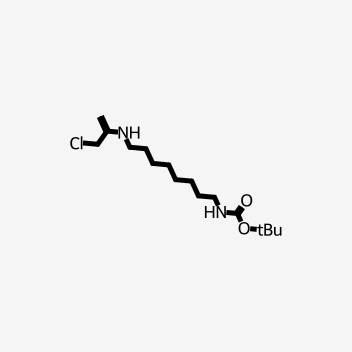 C=C(CCl)NCCCCCCCCNC(=O)OC(C)(C)C